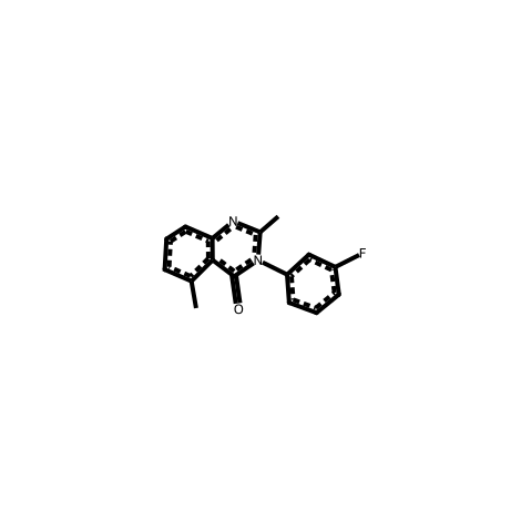 Cc1cccc2nc(C)n(-c3cccc(F)c3)c(=O)c12